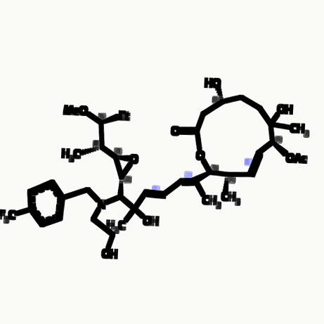 CC[C@H](OC)[C@@H](C)[C@H]1O[C@@H]1C(N(CCO)Cc1ccc(C(F)(F)F)cc1)C(C)(O)/C=C/C=C(\C)[C@H]1OC(=O)C[C@H](O)CCC(C)(O)[C@@H](OC(C)=O)/C=C/[C@@H]1C